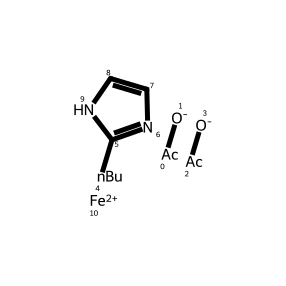 CC(=O)[O-].CC(=O)[O-].CCCCc1ncc[nH]1.[Fe+2]